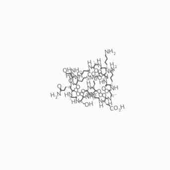 CSCC[C@H](NC(=O)[C@@H](N)CO)C(=O)N[C@@H](CCC(N)=O)C(=O)N[C@@H](C)C(=O)N[C@@H](CO)C(=O)N[C@H](C(=O)N[C@@H](CCC(=O)O)C(=O)N[C@@H](C)C(=O)N[C@@H](CCC(=O)O)C(=O)N[C@@H](C)C(=O)N[C@@H](CCCCN)C(=O)NCC(=O)N[C@@H](CCCCN)C(=O)N[C@@H](C)C(=O)N[C@@H](CCC(=O)O)C(=O)O)C(C)C